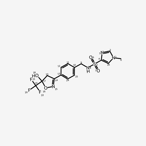 Cn1cnc(S(=O)(=O)NCc2ccc(C3=NOC(O)(C(F)(F)F)C3)cc2)c1